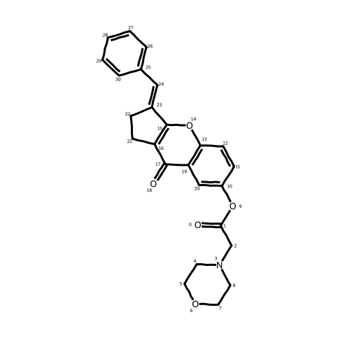 O=C(CN1CCOCC1)Oc1ccc2oc3c(c(=O)c2c1)CCC3=Cc1ccccc1